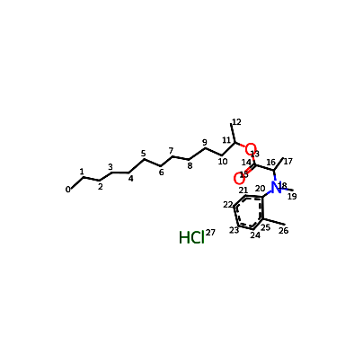 CCCCCCCCCCCC(C)OC(=O)C(C)N(C)c1ccccc1C.Cl